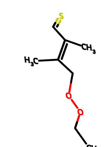 CCOOC/C(C)=C(\C)C=S